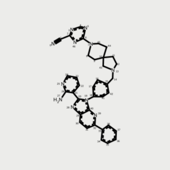 N#Cc1ncnc(N2CCC3(CCN(Cc4ccc(-n5c(-c6cccnc6N)nc6ccc(-c7ccccc7)nc65)cc4)C3)CC2)n1